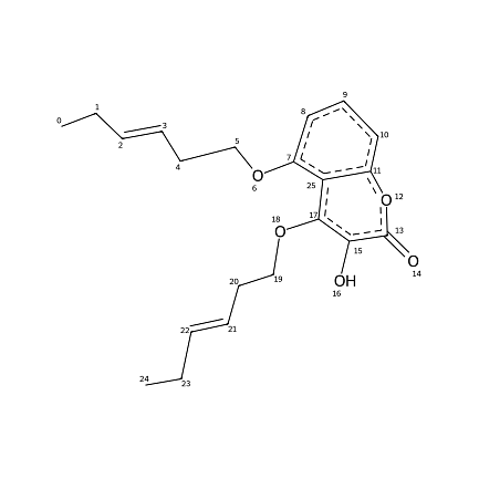 CCC=CCCOc1cccc2oc(=O)c(O)c(OCCC=CCC)c12